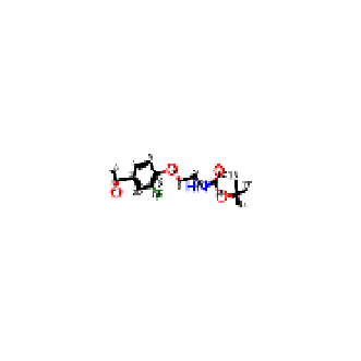 CC(=O)c1ccc(OCCNC(=O)OC(C)(C)C)c(F)c1